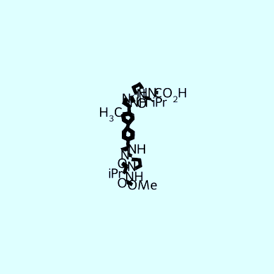 COC(=O)N[C@H](C(=O)N1CCC[C@H]1c1ncc(-c2ccc(-c3ccc(-c4cnc([C@@H]5CCCN5C(=O)[C@@H](NC(=O)O)C(C)C)[nH]4)c(C)c3)cc2)[nH]1)C(C)C